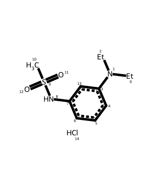 CCN(CC)c1cccc(NS(C)(=O)=O)c1.Cl